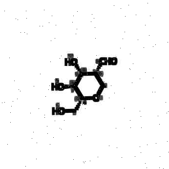 O=C[C@@H]1CO[C@H](CO)[C@@H](O)[C@@H]1O